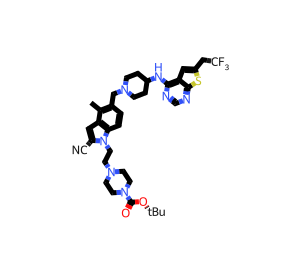 Cc1c(CN2CCC(Nc3ncnc4sc(CC(F)(F)F)cc34)CC2)ccc2c1cc(C#N)n2CCN1CCN(C(=O)OC(C)(C)C)CC1